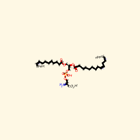 CCCCC/C=C\C/C=C\CCCCCCCC(=O)O[C@H](COC(=O)CCCCCCC/C=C\CCCCC)COP(=O)(O)OC[C@H](N)C(=O)O